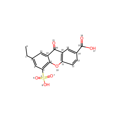 CCc1cc(S(=O)(=O)O)c2oc3ccc(C(=O)O)cc3c(=O)c2c1